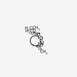 CCOC(=O)C12CC1/C=C\CCCCCC(NC(=O)OC(C)(C)C)C(=O)N1CCCC1C(=O)N2